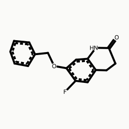 O=C1CCc2cc(F)c(OCc3ccccc3)cc2N1